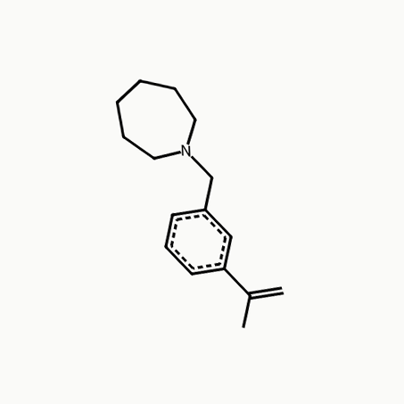 C=C(C)c1cccc(CN2CCCCCC2)c1